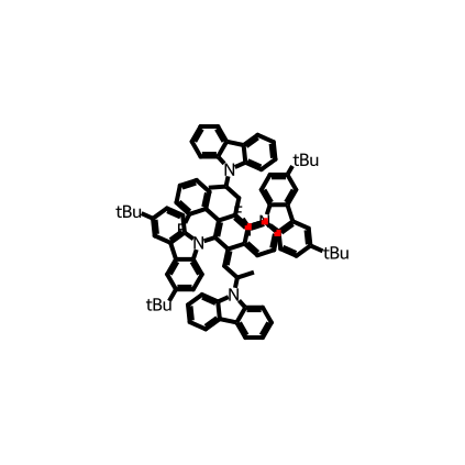 C\C(=C(CC(C)n1c2ccccc2c2ccccc21)/C(=C(\C(=C\C(C)n1c2ccccc2c2ccccc21)c1ccccc1F)n1c2ccc(C(C)(C)C)cc2c2cc(C(C)(C)C)ccc21)c1ccccc1F)n1c2ccc(C(C)(C)C)cc2c2cc(C(C)(C)C)ccc21